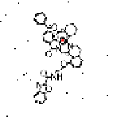 O=C(NCCOc1cccc2c1[C@@H](CN1C(=O)c3ccccc3C1=O)N(C(=O)[C@@H]1CCCC[C@@H]1C(=O)OCc1ccccc1)CC2)c1nc2ccccc2o1